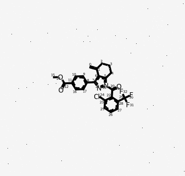 C=C1CCCc2c1c(-c1ccc(C(=O)OC)cc1)nn2C(=O)c1c(Cl)cccc1C(F)(F)F